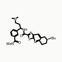 CNC(=O)c1cccc(C(CCN(C)C)NC(=O)c2nc3cc4c(nc3s2)CC[C@H](C(C)(C)C)C4)c1